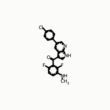 CNc1ccc(F)c(C(=O)c2c[nH]c3ncc(-c4ccc(Cl)cc4)cc23)c1F